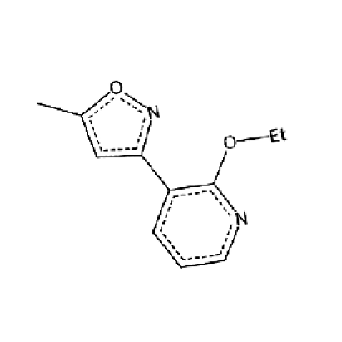 CCOc1ncccc1-c1cc(C)on1